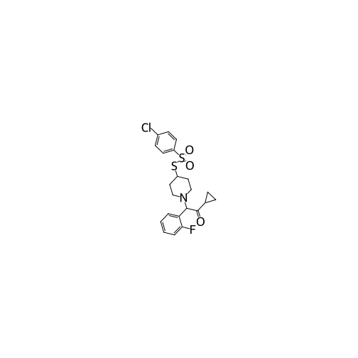 O=C(C1CC1)C(c1ccccc1F)N1CCC(SS(=O)(=O)c2ccc(Cl)cc2)CC1